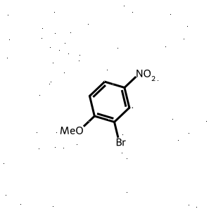 COc1ccc([N+](=O)[O-])[c]c1Br